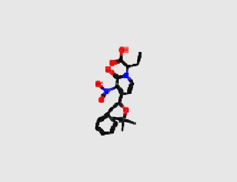 CCC(C(=O)O)n1ccc(C(Cc2ccccc2)O[Si](C)(C)C)c([N+](=O)[O-])c1=O